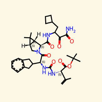 C=C(C)[C@H](NC(=O)N[C@H](C(=O)N1C[C@H]2[C@@H]([C@H]1C(=O)NC(CC1CCC1)C(=O)C(N)=O)C2(C)C)C1Cc2ccccc2C1)C(=O)OC(C)(C)C